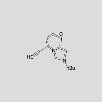 C#Cc1cccc2cn(CCCC)c[n+]12.[Cl-]